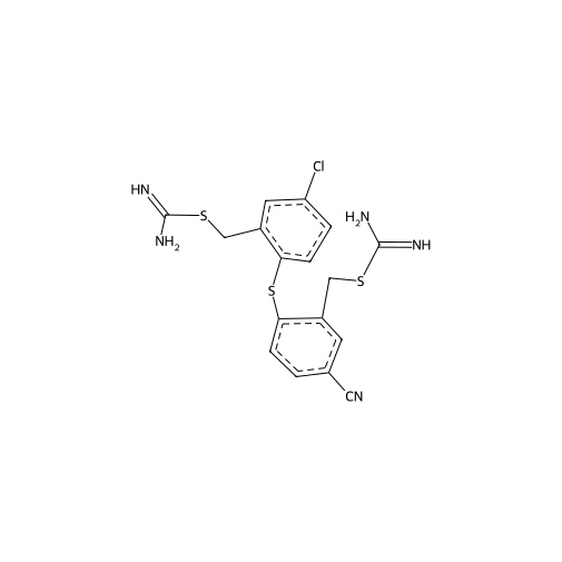 N#Cc1ccc(Sc2ccc(Cl)cc2CSC(=N)N)c(CSC(=N)N)c1